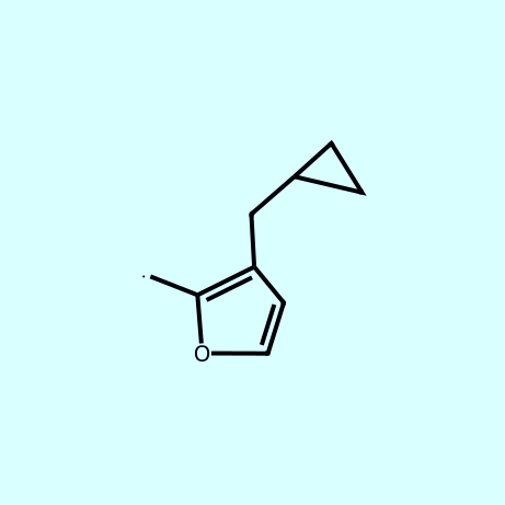 [CH2]c1occc1CC1CC1